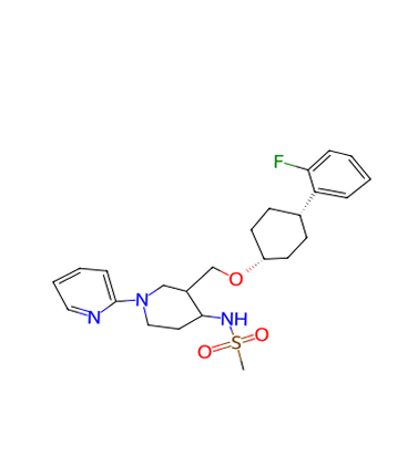 CS(=O)(=O)NC1CCN(c2ccccn2)CC1CO[C@H]1CC[C@@H](c2ccccc2F)CC1